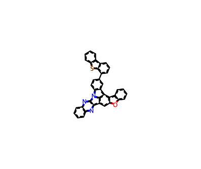 c1ccc2nc3c(nc2c1)c1cc2oc4ccccc4c2c2c4cc(-c5cccc6c5sc5ccccc56)ccc4n3c12